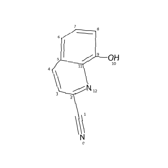 N#Cc1ccc2cccc(O)c2n1